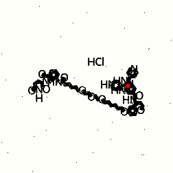 Cl.O=C1CCC(N2Cc3c(NC(=O)CCCCCOCCOCCOCCCCCCOc4ccc5c(c4)[C@@H](NC(=O)c4cccc(NC6(c7nnc(-c8ccncc8)[nH]7)CCNCC6)c4)CCO5)cccc3C2=O)C(=O)N1